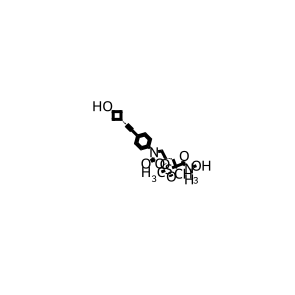 C[C@@](C[C@H]1CN(c2ccc(C#C[C@H]3C[C@@H](O)C3)cc2)C(=O)O1)(C(=O)NO)S(C)(=O)=O